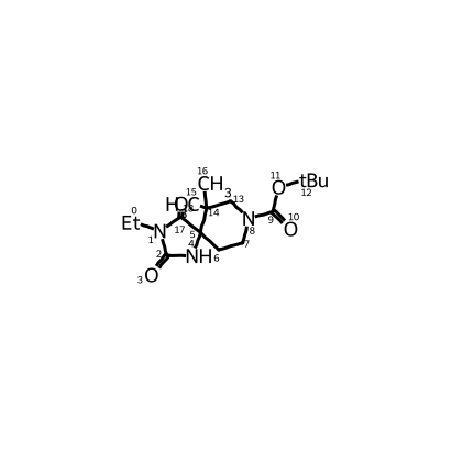 CCN1C(=O)NC2(CCN(C(=O)OC(C)(C)C)CC2(C)C)C1=O